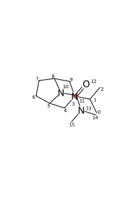 CC(C)N1CC2CCC(C1)N2C(=O)N(C)C